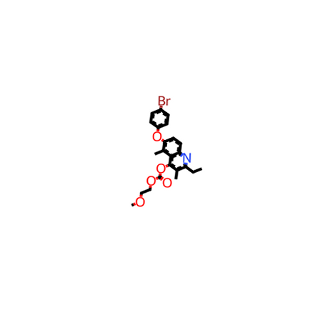 CCc1nc2ccc(Oc3ccc(Br)cc3)c(C)c2c(OC(=O)OCCOC)c1C